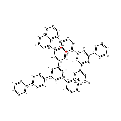 C=C/C(=C\C)c1nc(-c2ccccc2)nc(-c2ccc(-c3cccc4cccc(-c5cccc(-c6nc(-c7ccccc7)nc(-c7ccc(-c8ccccc8)cc7)n6)c5)c34)cc2)n1